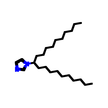 CCCCCCCCCCC(CCCCCCCCCC)n1ccnc1